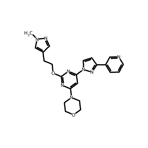 Cn1cc(CCOc2nc(N3CCOCC3)cc(-n3ccc(-c4cccnc4)n3)n2)cn1